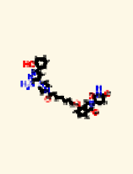 Nc1nnc(-c2ccccc2O)cc1N1CCN(C(=O)CCCCCCOc2cccc3c2CN(C2CCC(=O)NC2=O)C3=O)CC1